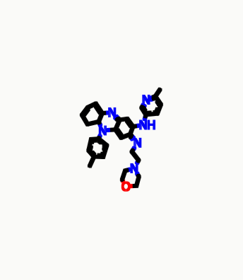 Cc1ccc(N2C3=C/C(=N\CCN4CCOCC4)C(Nc4ccc(C)nc4)=CC3=NC3=CC=CCC32)cc1